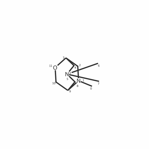 CN1CC2C[N+](C)(C)CC1CO2